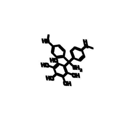 BC(c1ccc(NC)cc1)(c1ccc(NC)cc1)c1c(O)c(O)c(O)c(O)c1O